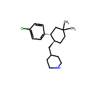 CC1(C)CC[C@@H](CC2CCNCC2)[C@H](c2ccc(Cl)cc2)C1